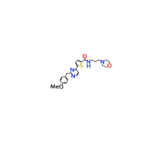 COc1ccc(Cc2nccc(-c3ccc(C(=O)NCCCN4CCOCC4)s3)n2)cc1